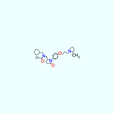 CC1CCCN1CCCOc1ccc(N2C(=O)CC[C@H]2CN(CC2CCCCC2)C(=O)C2CC2)cc1